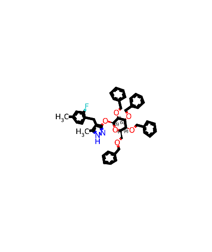 Cc1ccc(Cc2c(O[C@@H]3O[C@H](COCc4ccccc4)[C@@H](OCc4ccccc4)[C@H](OCc4ccccc4)[C@H]3OCc3ccccc3)n[nH]c2C)c(F)c1